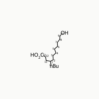 CCCCC(CCCCCCCCO)CCC(=O)O